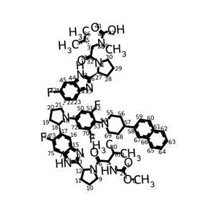 COC(=O)N[C@H](C(=O)N1CCC[C@H]1c1nc2cc([C@H]3CC[C@H](c4cc5nc([C@@H]6CCCN6C(=O)[C@H](C(C)C)N(C)C(=O)O)[nH]c5cc4F)N3c3cc(F)c(N4CCC(c5ccc6ccccc6c5)CC4)c(F)c3)c(F)cc2[nH]1)C(C)C